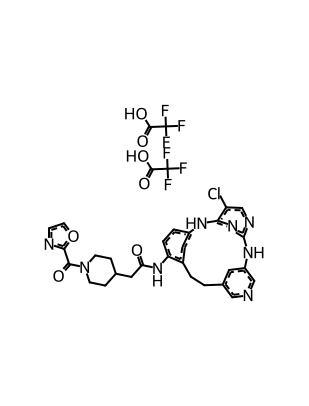 O=C(CC1CCN(C(=O)c2ncco2)CC1)Nc1ccc2cc1CCc1cncc(c1)Nc1ncc(Cl)c(n1)N2.O=C(O)C(F)(F)F.O=C(O)C(F)(F)F